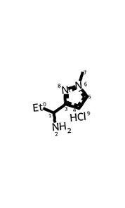 CCC(N)c1ccn(C)n1.Cl